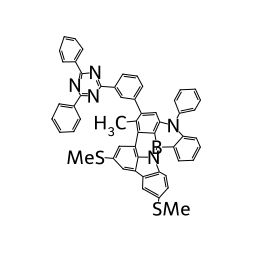 CSc1ccc2c(c1)c1cc(SC)cc3c1n2B1c2ccccc2N(c2ccccc2)c2cc(-c4cccc(-c5nc(-c6ccccc6)nc(-c6ccccc6)n5)c4)c(C)c-3c21